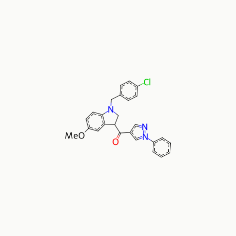 COc1ccc2c(c1)C(C(=O)c1cnn(-c3ccccc3)c1)CN2Cc1ccc(Cl)cc1